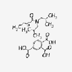 CCSC(=O)N(CC(C)C)CC(C)C.O=C(O)c1ccc(C(=O)O)c(C(=O)O)c1